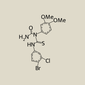 COc1ccc(N(C(N)=O)C(=S)Nc2ccc(Br)c(Cl)c2)cc1OC